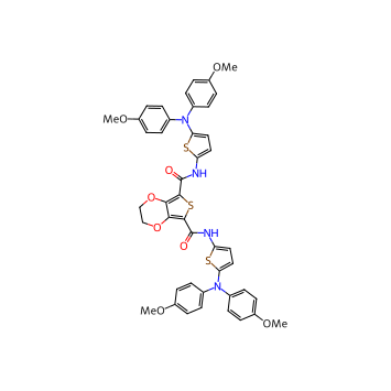 COc1ccc(N(c2ccc(OC)cc2)c2ccc(NC(=O)c3sc(C(=O)Nc4ccc(N(c5ccc(OC)cc5)c5ccc(OC)cc5)s4)c4c3OCCO4)s2)cc1